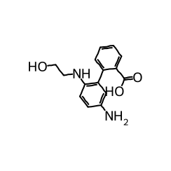 Nc1ccc(NCCO)c(-c2ccccc2C(=O)O)c1